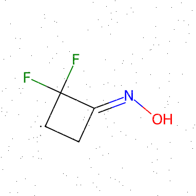 ON=C1C[CH]C1(F)F